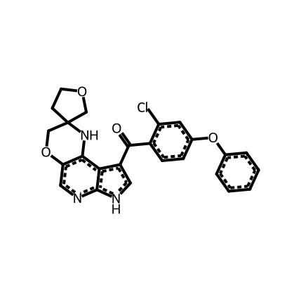 O=C(c1ccc(Oc2ccccc2)cc1Cl)c1c[nH]c2ncc3c(c12)NC1(CCOC1)CO3